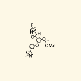 COC[C@@H](C)Oc1cc(Oc2cccc(-c3nnc(C)o3)c2)cc(C(=O)Nc2ncc(F)s2)c1